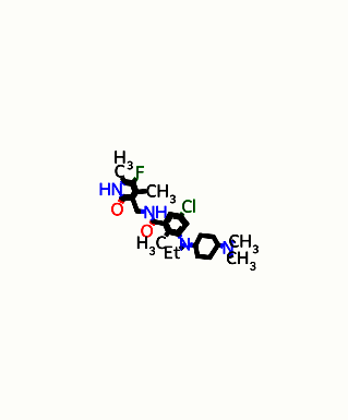 CCN(c1cc(Cl)cc(C(=O)NCc2c(C)c(F)c(C)[nH]c2=O)c1C)C1CCC(N(C)C)CC1